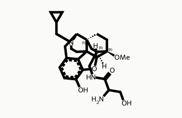 CO[C@]12CC[C@@]3(C[C@@H]1CNC(=O)C(N)CO)C1Cc4ccc(O)c5c4C3(CCN1CC1CC1)[C@H]2O5